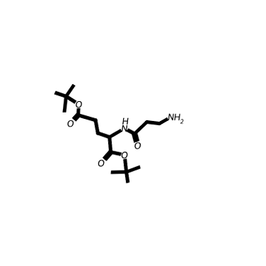 CC(C)(C)OC(=O)CCC(NC(=O)CCN)C(=O)OC(C)(C)C